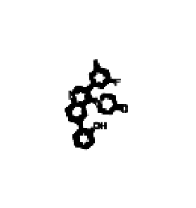 Cc1cc(F)cc(-c2cnc3ccc(-c4ccccc4O)cc3c2N2CCC(=O)CC2)c1